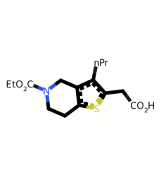 CCCc1c(CC(=O)O)sc2c1CN(C(=O)OCC)CC2